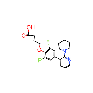 O=C(O)CCCOc1c(F)cc(-c2cccnc2N2CCCCC2)cc1F